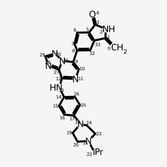 C=C1NC(=O)c2ccc(-c3cnc(Nc4ccc(N5CCN(C(C)C)CC5)cc4)c4ncnn34)cc21